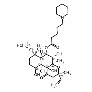 C=C[C@@]1(C)CC(=O)[C@]2(O)[C@@]3(C)[C@@H](O)CCC(C)(C)[C@@H]3[C@H](OC(=O)CCCCN3CCCCC3)[C@H](O)[C@@]2(C)O1.Cl.O